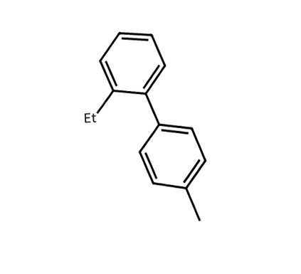 [CH2]Cc1ccccc1-c1ccc(C)cc1